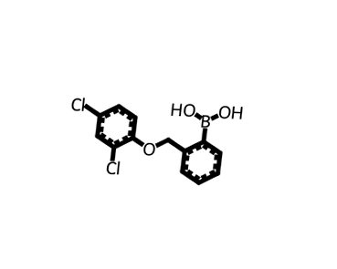 OB(O)c1ccccc1COc1ccc(Cl)cc1Cl